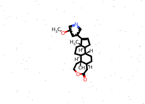 COc1cncc(C2=CC[C@H]3[C@@H]4CC[C@H]5CC(=O)OCC[C@]5(C)[C@H]4CC[C@]23C)c1